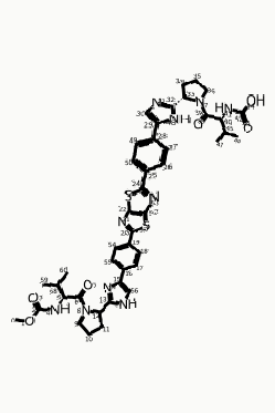 COC(=O)N[C@H](C(=O)N1CCCC1c1nc(-c2ccc(-c3nc4sc(-c5ccc(-c6cnc([C@@H]7CCCN7C(=O)[C@@H](NC(=O)O)C(C)C)[nH]6)cc5)nc4s3)cc2)c[nH]1)C(C)C